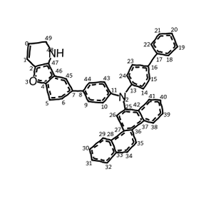 C1=Cc2oc3ccc(-c4ccc(N(c5ccc(-c6ccccc6)cc5)c5cc6c7ccccc7ccc6c6ccccc56)cc4)cc3c2NC1